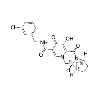 O=C(NCc1cccc(Cl)c1)c1cn2c(c(O)c1=O)C(=O)N1[C@H]3CC[C@H](C3)[C@@H]1C2